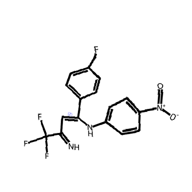 N=C(/C=C(\Nc1ccc([N+](=O)[O-])cc1)c1ccc(F)cc1)C(F)(F)F